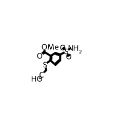 COC(=O)c1cc(S(N)(=O)=O)ccc1SCCO